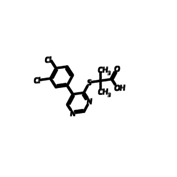 CC(C)(Sc1ncncc1-c1ccc(Cl)c(Cl)c1)C(=O)O